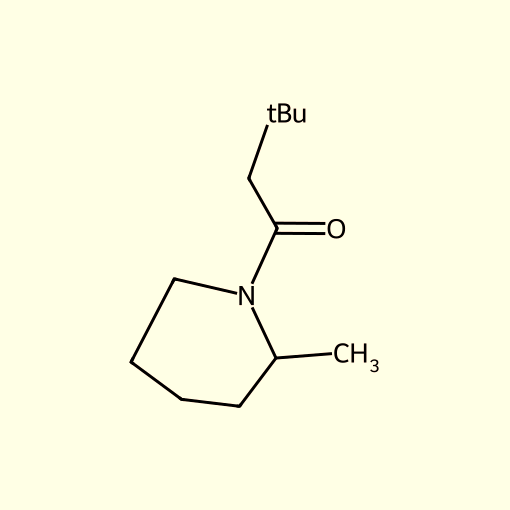 CC1CCCCN1C(=O)CC(C)(C)C